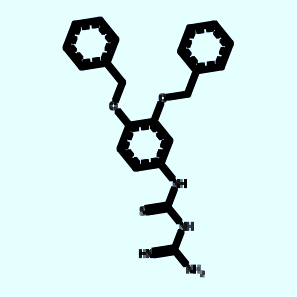 N=C(N)NC(=S)Nc1ccc(OCc2ccccc2)c(OCc2ccccc2)c1